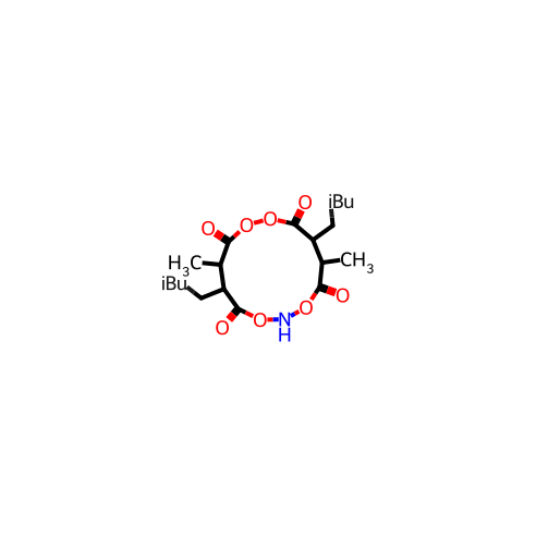 CCC(C)CC1C(=O)ONOC(=O)C(C)C(CC(C)CC)C(=O)OOC(=O)C1C